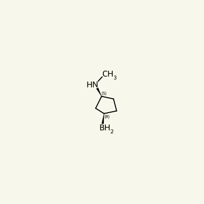 B[C@@H]1CC[C@H](NC)C1